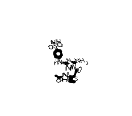 CC(=O)Nc1ccsc1C(=O)n1nc(Nc2ccc(S(N)(=O)=O)cc2)nc1N